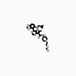 Cc1[nH]c2c(-c3c(OCC4CC4)ccc4c3OCO4)ncnc2c1C(=O)NC1CCN(CCOC=O)CC1